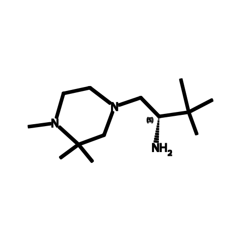 CN1CCN(C[C@@H](N)C(C)(C)C)CC1(C)C